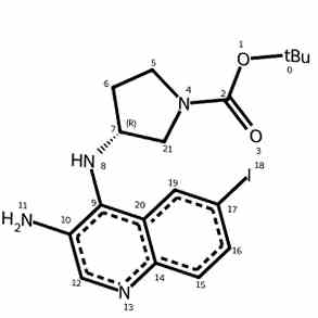 CC(C)(C)OC(=O)N1CC[C@@H](Nc2c(N)cnc3ccc(I)cc23)C1